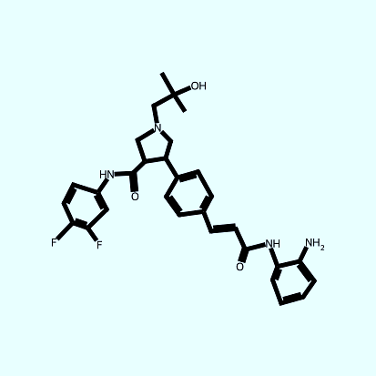 CC(C)(O)CN1CC(C(=O)Nc2ccc(F)c(F)c2)C(c2ccc(/C=C/C(=O)Nc3ccccc3N)cc2)C1